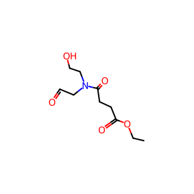 CCOC(=O)CCC(=O)N(CC=O)CCO